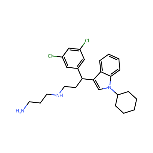 NCCCNCCC(c1cc(Cl)cc(Cl)c1)c1cn(C2CCCCC2)c2ccccc12